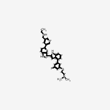 CCNCc1cncc(-c2ccc3[nH]nc(-c4cc5c(-c6cc(F)cc(OCCN(C)C)c6)cccc5[nH]4)c3n2)c1